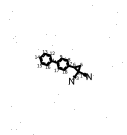 N#CC1(C#N)CC1c1ccc(-c2ccccc2)cc1